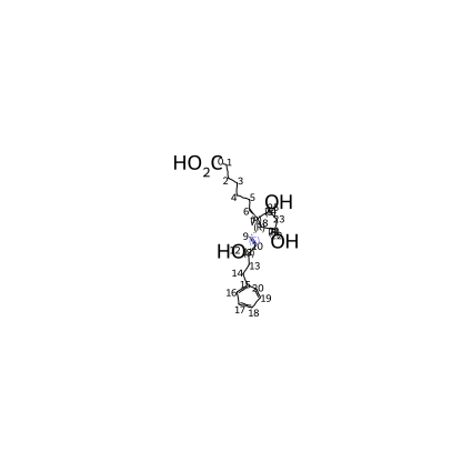 O=C(O)CCCCCC[C@@H]1[C@@H](/C=C/[C@@H](O)CCc2ccccc2)[C@H](O)C[C@@H]1O